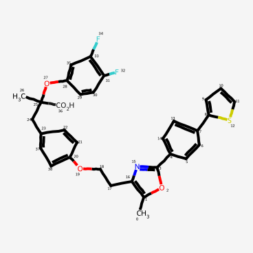 Cc1oc(-c2ccc(-c3cccs3)cc2)nc1CCOc1ccc(CC(C)(Oc2ccc(F)c(F)c2)C(=O)O)cc1